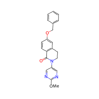 COc1ncc(N2CCc3cc(OCc4ccccc4)ccc3C2=O)cn1